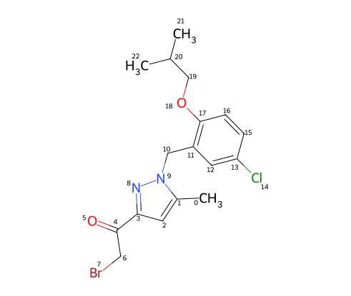 Cc1cc(C(=O)CBr)nn1Cc1cc(Cl)ccc1OCC(C)C